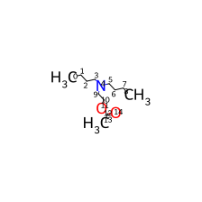 CCCCN(CCCC)CCOC(C)=O